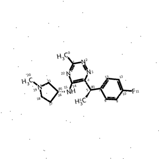 Cc1nnc([C@H](C)c2ccc(F)cc2)c(N[C@@H]2CCN(C)C2)n1